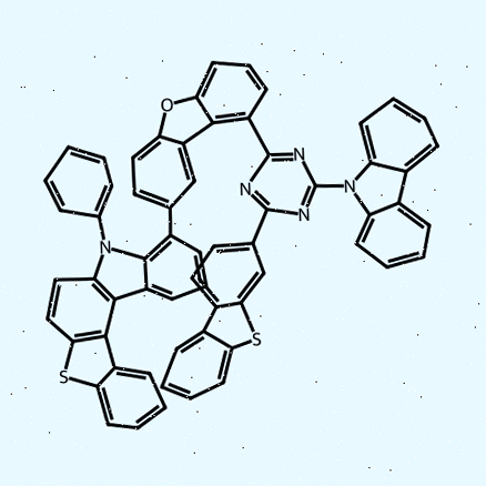 c1ccc(-n2c3ccc4sc5ccccc5c4c3c3cccc(-c4ccc5oc6cccc(-c7nc(-c8ccc9c(c8)sc8ccccc89)nc(-n8c9ccccc9c9ccccc98)n7)c6c5c4)c32)cc1